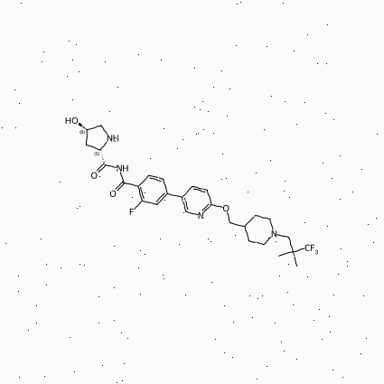 CC(C)(CN1CCC(COc2ccc(-c3ccc(C(=O)NC(=O)[C@@H]4C[C@@H](O)CN4)c(F)c3)cn2)CC1)C(F)(F)F